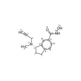 C#CCN(C)[C@H]1CCc2ccc(C(=O)NO)cc21